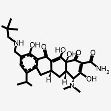 CC(C)c1cc(CNCC(C)(C)C)c(O)c2c1C[C@H]1C[C@H]3[C@@H](N(C)C)C(O)=C(C(N)=O)C(=O)[C@@]3(O)C(O)=C1C2=O